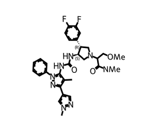 CNC(=O)C(COC)N1C[C@@H](NC(=O)Nc2c(C)c(-c3cnn(C)c3)nn2-c2ccccc2)[C@H](c2ccc(F)c(F)c2)C1